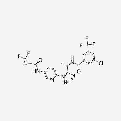 C[C@H](NC(=O)c1cc(Cl)cc(C(F)(F)F)c1)c1ncnn1-c1ccc(NC(=O)C2CC2(F)F)cn1